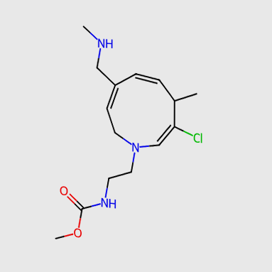 CNCC1=C/CN(CCNC(=O)OC)/C=C(/Cl)C(C)/C=C\1